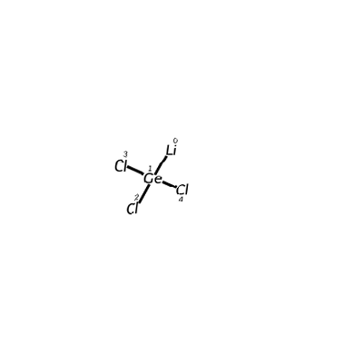 [Li][Ge]([Cl])([Cl])[Cl]